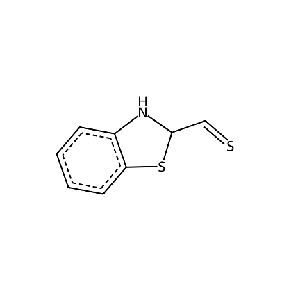 S=CC1Nc2ccccc2S1